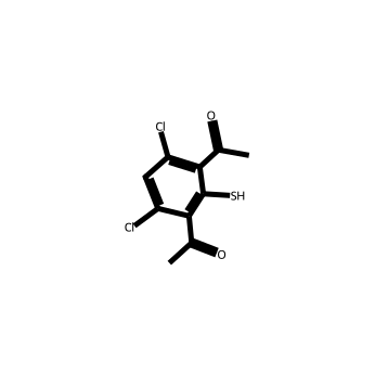 CC(=O)c1c(Cl)cc(Cl)c(C(C)=O)c1S